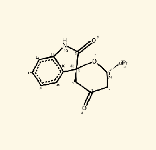 CC(C)[C@@H]1CC(=O)C[C@]2(O1)C(=O)Nc1ccccc12